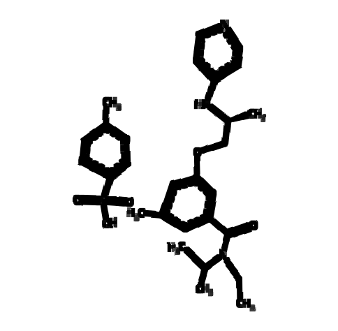 CCN(C(=O)c1cc(C)cc(OC[C@H](C)Nc2ccncc2)c1)C(C)C.Cc1ccc(S(=O)(=O)O)cc1